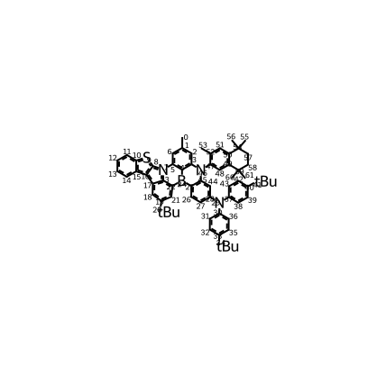 Cc1cc2c3c(c1)-n1c4sc5ccccc5c4c4cc(C(C)(C)C)cc(c41)B3c1ccc(N(c3ccc(C(C)(C)C)cc3)c3ccc(C(C)(C)C)cc3)cc1N2c1cc2c(cc1C)C(C)(C)CCC2(C)C